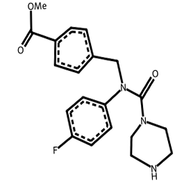 COC(=O)c1ccc(CN(C(=O)N2CCNCC2)c2ccc(F)cc2)cc1